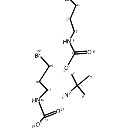 CC(C)(C)[N+2].O=C([O-])NCCCBr.O=C([O-])NCCCBr